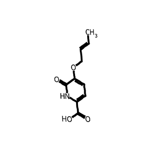 CC=CCOc1ccc(C(=O)O)[nH]c1=O